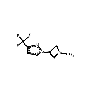 CN1CC(n2c[c]c(C(F)(F)F)n2)C1